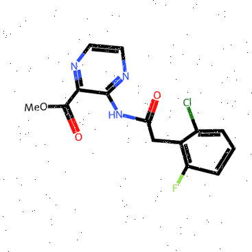 COC(=O)c1nccnc1NC(=O)Cc1c(F)cccc1Cl